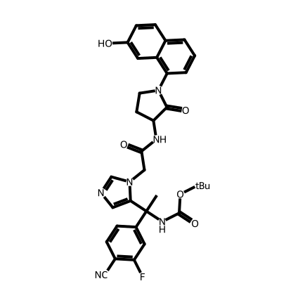 CC(C)(C)OC(=O)NC(C)(c1ccc(C#N)c(F)c1)c1cncn1CC(=O)NC1CCN(c2cccc3ccc(O)cc23)C1=O